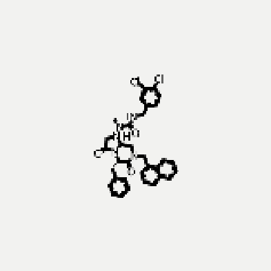 CN(C(=O)NCc1ccc(Cl)c(Cl)c1)N1CC(=O)N2[C@@H](Cc3ccccc3)C(=O)N(Cc3cccc4ccccc34)C[C@@H]21